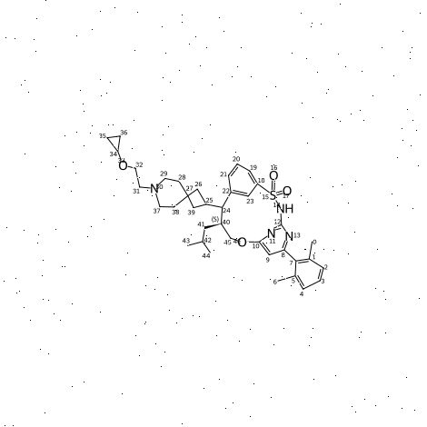 Cc1cccc(C)c1-c1cc2nc(n1)NS(=O)(=O)c1cccc(c1)C(C1CC3(CCN(CCOC4CC4)CC3)C1)[C@H](CC(C)C)CO2